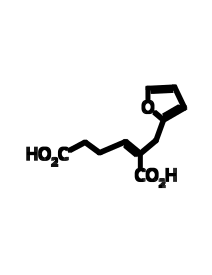 O=C(O)CCC=C(Cc1ccco1)C(=O)O